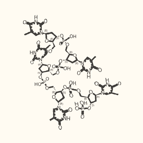 Cc1cn([C@H]2C[C@H](OP(=O)(O)O)[C@@H](COP(=O)(O)O[C@H]3C[C@H](n4cc(C)c(=O)[nH]c4=O)O[C@@H]3COP(=O)(O)O[C@H]3C[C@H](n4cc(C)c(=O)[nH]c4=O)O[C@@H]3COP(=O)(O)O[C@H]3C[C@H](n4cc(C)c(=O)[nH]c4=O)O[C@@H]3COP(=O)(O)O[C@H]3C[C@H](n4cc(C)c(=O)[nH]c4=O)O[C@@H]3CO)O2)c(=O)[nH]c1=O